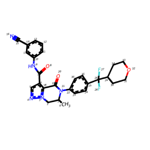 CC1Cn2ncc(C(=O)Nc3cccc(C#N)c3)c2C(=O)N1c1ccc(C(F)(F)C2CCOCC2)cc1